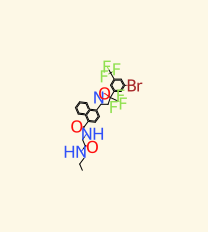 CCCNC(=O)CNC(=O)c1ccc(C2=NOC(c3cc(Br)cc(C(F)(F)F)c3)(C(F)(F)F)C2)c2ccccc12